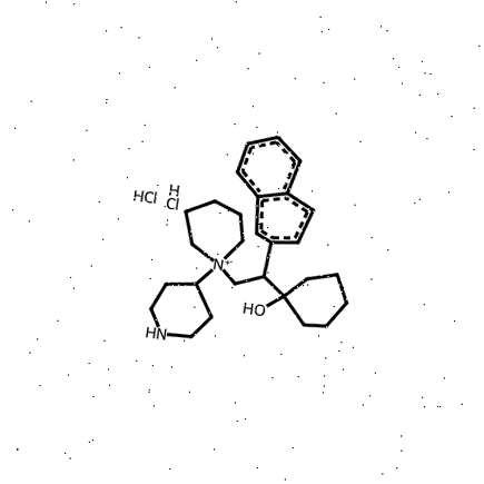 Cl.Cl.OC1(C(C[N+]2(C3CCNCC3)CCCCC2)c2ccc3ccccc3c2)CCCCC1